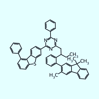 CCC(Cc1nc(-c2ccccc2)nc(-c2ccc3c(c2)sc2cccc(-c4ccccc4)c23)n1)c1ccccc1-c1cc2c(cc1C)-c1ccccc1C2(C)C